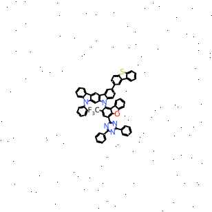 FC(F)(F)c1cc(-c2nc(-c3ccccc3)nc(-c3ccccc3)n2)c2oc3ccccc3c2c1-n1c2ccc(-c3ccc4sc5ccccc5c4c3)cc2c2cc3c4ccccc4n(-c4ccccc4)c3cc21